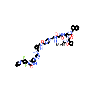 CN[C@@H](C)C(=O)N[C@H](C(=O)N1C[C@@H](NC(=O)CCC(=O)NCCCN2CCN(CC(=O)NCc3cccc(CNc4cc(N5CCC6(CC5)CN(c5cc(F)c(CN7CCC(C)(C)CC7)cc5F)CC(=O)N6)ncn4)c3)CC2)C[C@H]1C(=O)NCC1CCCc2ccccc21)C1CCCCC1